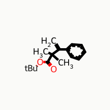 C=C(c1ccccc1)C(C)(C)C(=O)OC(C)(C)C